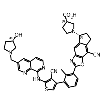 Cc1c(-c2nc3cc4c(c(C#N)c3o2)CC[C@H]4N2CC[C@@H](C(=O)O)C2)cccc1-c1csc(Nc2nccc3cc(CN4CC[C@@H](O)C4)cnc23)c1C#N